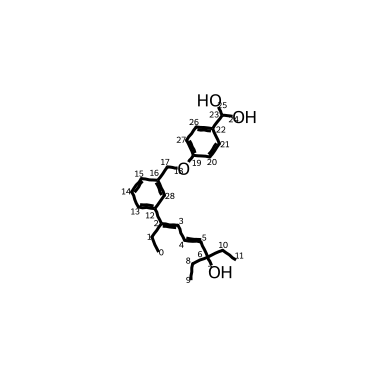 CCC(=CC=CC(O)(CC)CC)c1cccc(COc2ccc(C(O)O)cc2)c1